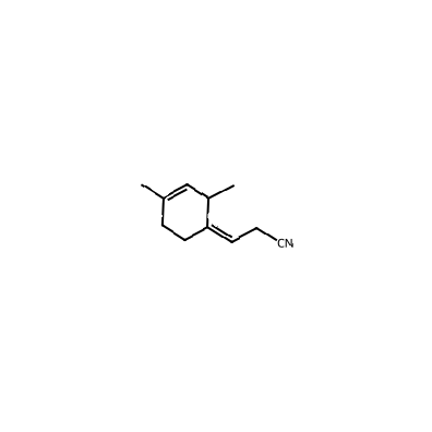 CC1=CC(C)/C(=C\CC#N)CC1